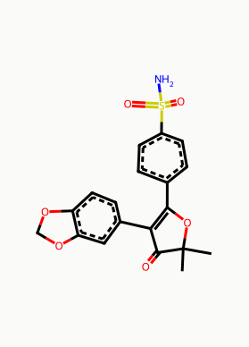 CC1(C)OC(c2ccc(S(N)(=O)=O)cc2)=C(c2ccc3c(c2)OCO3)C1=O